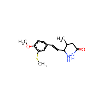 COc1ccc(/C=C/C2NNC(=O)CC2C)cc1SC